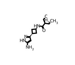 CCC(CC)C(=O)N[C@H]1C[C@@H](c2cc(N)[nH]n2)C1